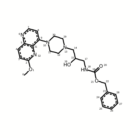 COc1ccc2nccc(N3CCN(CC(O)CNC(=O)OCc4ccccc4)CC3)c2n1